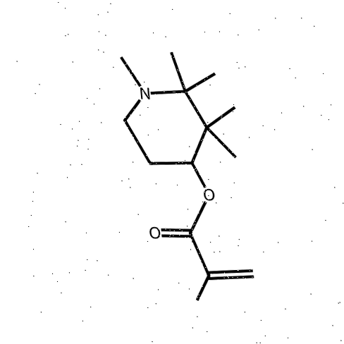 C=C(C)C(=O)OC1CCN(C)C(C)(C)C1(C)C